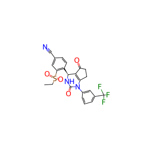 CCS(=O)(=O)c1cc(C#N)ccc1[C@@H]1NC(=O)N(c2cccc(C(F)(F)F)c2)C2=C1C(=O)CC2